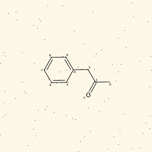 CC(=O)Cc1[c]cccc1